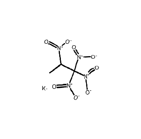 CC([N+](=O)[O-])C([N+](=O)[O-])([N+](=O)[O-])[N+](=O)[O-].[K]